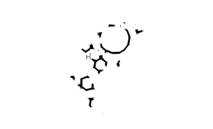 CCC(=O)O[C@@H]1CC(=O)O[C@H](C)CN(C)C[C@H](OC(C)=O)[C@H](C)C[C@H](CC=O)[C@H](O[C@@H]2OC(C)[C@@H](O[C@H]3CC(C)(OC(C)=O)[C@@H](OC(=O)CC)C(C)O3)C(N(C)C)C2O)[C@H]1OC